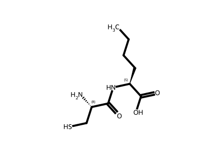 CCCC[C@H](NC(=O)[C@@H](N)CS)C(=O)O